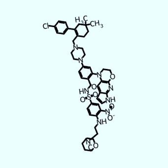 CC1(C)CCC(CN2CCN(c3ccc(C(=O)NS(=O)(=O)c4ccc(NCCN5CC6CCC5CO6)c([N+](=O)[O-])c4)c(N4CCOc5nc6[nH]ccc6cc54)c3)CC2)=C(c2ccc(Cl)cc2)C1